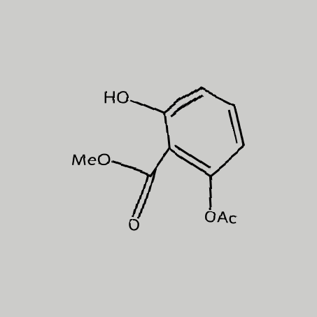 COC(=O)c1c(O)cccc1OC(C)=O